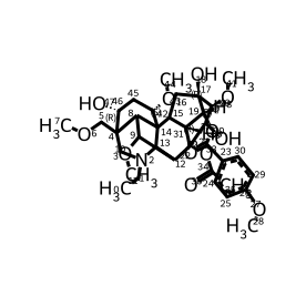 CCN1CC2(COC)C3C(OC)C4C1C3(C1C[C@@]3(O)[C@H](OC(=O)c5ccc(OC)cc5)[C@@H]1[C@]4(OC(C)=O)C(O)[C@@H]3OC)[C@@H](OC)C[C@H]2O